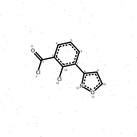 O=C(Cl)c1cccc(-c2ccon2)c1Cl